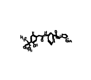 CC(C)(CO)c1cc(F)c(CC(=O)Nc2ccnc(C(=O)N[C@H]3CCC[C@@H]3O)c2)cc1O